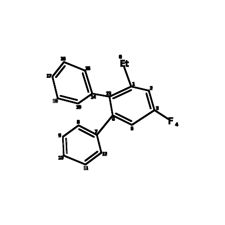 CCc1cc(F)cc(-c2ccccc2)c1-c1ccccc1